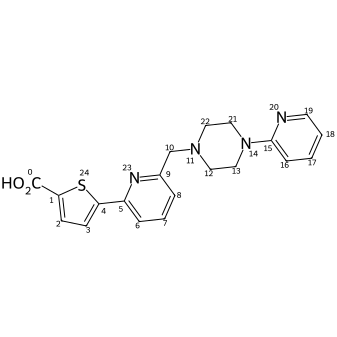 O=C(O)c1ccc(-c2cccc(CN3CCN(c4ccccn4)CC3)n2)s1